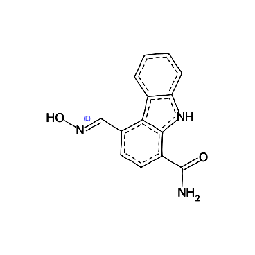 NC(=O)c1ccc(/C=N/O)c2c1[nH]c1ccccc12